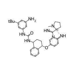 CN1CCC[C@@]1(C)C(=N)n1cc(OC2CCC(NC(=O)Nc3cc(N)cc(C(C)(C)C)c3)c3ccccc32)ccc1=N